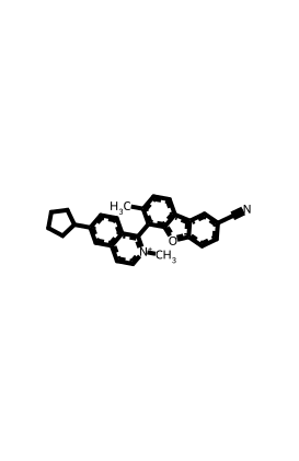 Cc1ccc2c(oc3ccc(C#N)cc32)c1-c1c2ccc(C3CCCC3)cc2cc[n+]1C